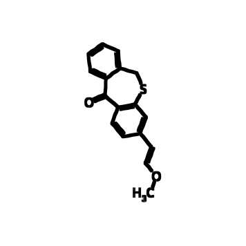 COC=Cc1ccc2c(c1)SCc1ccccc1C2=O